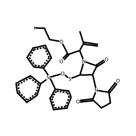 C=C(C)C(C(=O)OCCI)N1C(=O)C(N2C(=O)CCC2=O)C1SO[Si](c1ccccc1)(c1ccccc1)c1ccccc1